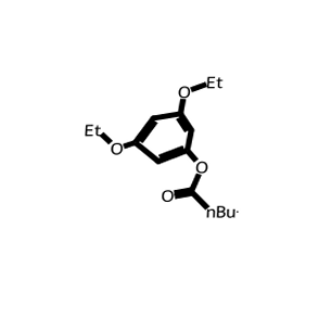 CCC[CH]C(=O)Oc1cc(OCC)cc(OCC)c1